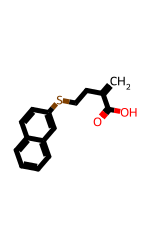 C=C(CCSc1ccc2ccccc2c1)C(=O)O